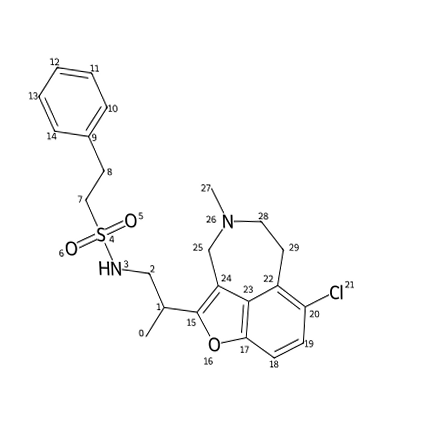 CC(CNS(=O)(=O)CCc1ccccc1)c1oc2ccc(Cl)c3c2c1CN(C)CC3